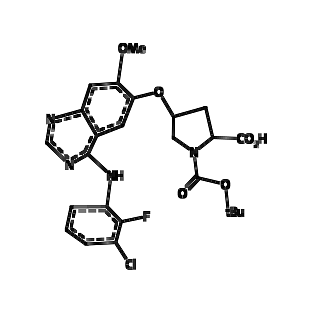 COc1cc2ncnc(Nc3cccc(Cl)c3F)c2cc1OC1CC(C(=O)O)N(C(=O)OC(C)(C)C)C1